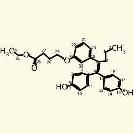 CCCC(=C(c1ccc(O)cc1)c1ccc(O)cc1)c1cccc(OCCCC(=O)OCC)c1